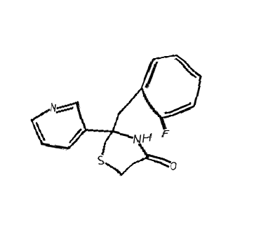 O=C1CSC(Cc2ccccc2F)(c2cccnc2)N1